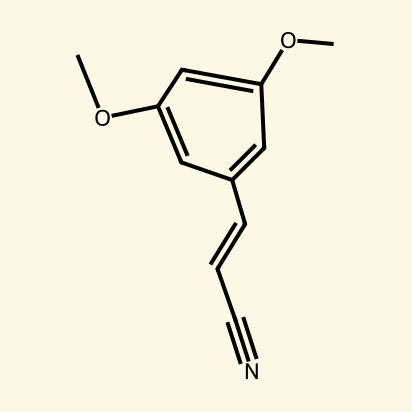 COc1cc(/C=C/C#N)cc(OC)c1